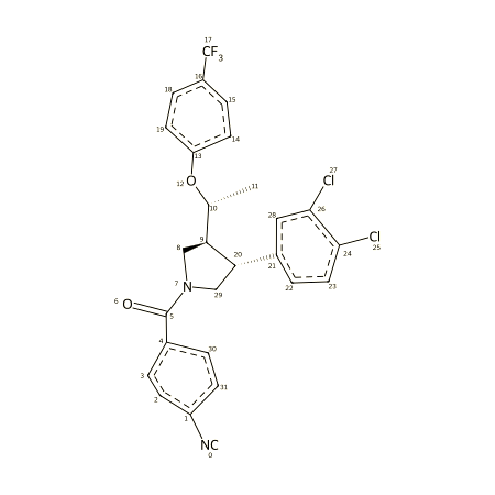 [C-]#[N+]c1ccc(C(=O)N2C[C@@H]([C@@H](C)Oc3ccc(C(F)(F)F)cc3)[C@H](c3ccc(Cl)c(Cl)c3)C2)cc1